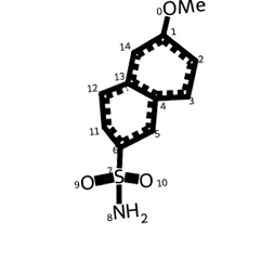 COc1ccc2cc(S(N)(=O)=O)ccc2c1